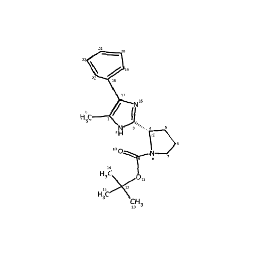 Cc1[nH]c([C@@H]2CCCN2C(=O)OC(C)(C)C)nc1-c1ccccc1